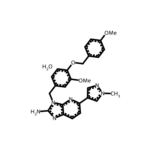 COc1ccc(COc2ccc(Cn3c(N)nc4ccc(-c5cnn(C)c5)nc43)cc2OC)cc1.O